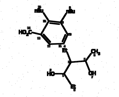 CCC(O)C(CC)C(C)O.CCCCc1cccc(C(=O)O)c1CCCC